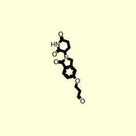 O=CCCOc1ccc2c(c1)CN(C1CCC(=O)NC1=O)C2=O